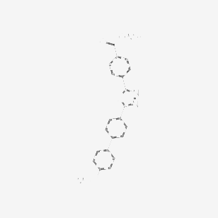 COC(=O)c1ccc(-c2nnc(-c3ccc(-c4ccc(OC)cc4)cc3)o2)cc1